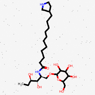 CC[C@@H](O)[C@@H](O)[C@H](COC1OC(CO)C(O)C(O)C1O)NC(=O)CCCCCCCCCCC1CCNC1